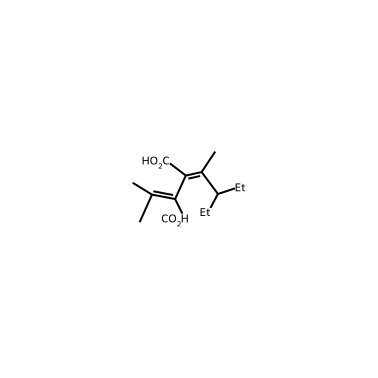 CCC(CC)C(C)=C(C(=O)O)C(C(=O)O)=C(C)C